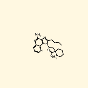 CCCCc1nc2c(N)nc3cccnc3c2n1CCC1(C(N)=O)CCCCC1